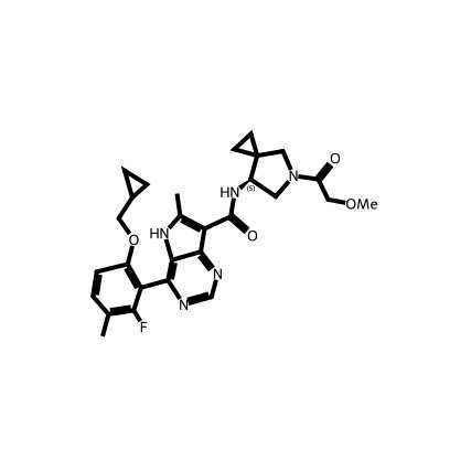 COCC(=O)N1C[C@@H](NC(=O)c2c(C)[nH]c3c(-c4c(OCC5CC5)ccc(C)c4F)ncnc23)C2(CC2)C1